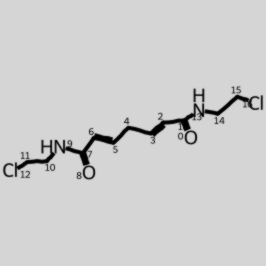 O=C(C=CCC=CC(=O)NCCCl)NCCCl